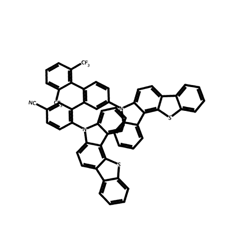 N#Cc1ccc(-n2c3ccccc3c3c4sc5ccccc5c4ccc32)c(-c2cc(-n3c4ccccc4c4c5sc6ccccc6c5ccc43)ccc2-c2c(C(F)(F)F)cccc2C(F)(F)F)c1